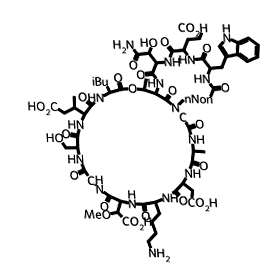 CCCCCCCCCC(=O)NC(Cc1c[nH]c2ccccc12)C(=O)NC(CCC(=O)O)C(=O)NC(C(=O)NC1C(=O)N(C)CC(=O)NC(C)C(=O)NC(CC(=O)O)C(=O)NC(CCCCN)C(=O)NC(C(OC)C(=O)O)C(=O)NCC(=O)NC(CO)C(=O)NC(C(C)CC(=O)O)C(=O)NC(C(C)CC)C(=O)OC1C)C(O)C(N)=O